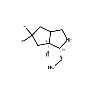 OC[C@H]1NCC2CC(F)(F)C[C@@H]21